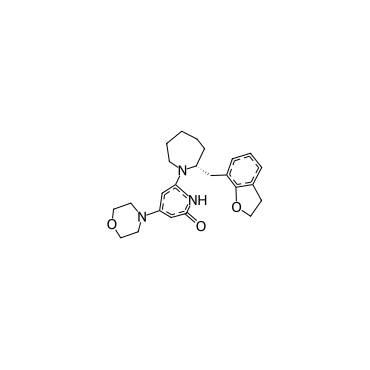 O=c1cc(N2CCOCC2)cc(N2CCCCC[C@@H]2Cc2cccc3c2OCC3)[nH]1